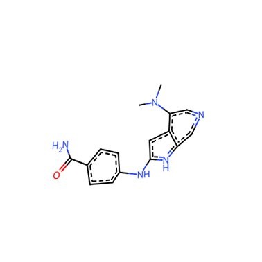 CN(C)c1cncc2[nH]c(Nc3ccc(C(N)=O)cc3)cc12